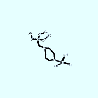 CCO[Si](CN1CCN([Si](CC)(CC)CC)CC1)(OCC)OCC